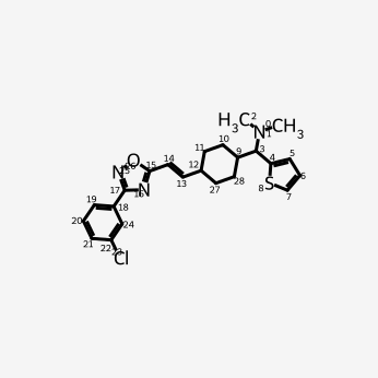 CN(C)C(c1cccs1)C1CCC(/C=C/c2nc(-c3cccc(Cl)c3)no2)CC1